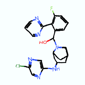 OC(c1cccc(F)c1-c1ncccn1)N1CC2CC(Nc3cnc(Cl)cn3)C1C2